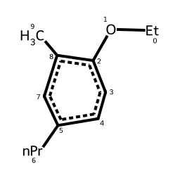 [CH2]COc1ccc(CCC)cc1C